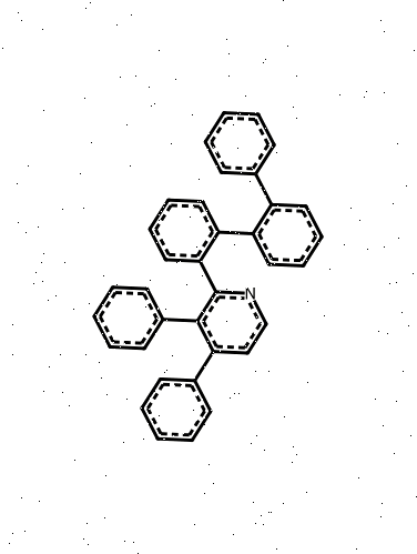 c1ccc(-c2ccccc2-c2ccccc2-c2nccc(-c3ccccc3)c2-c2ccccc2)cc1